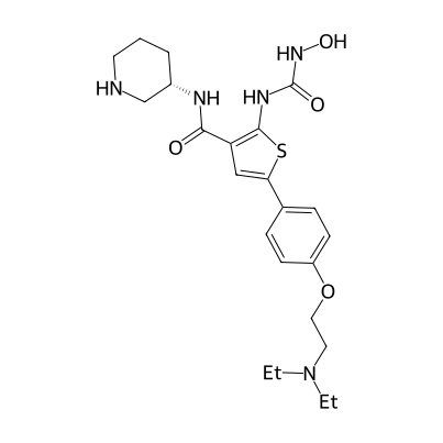 CCN(CC)CCOc1ccc(-c2cc(C(=O)N[C@H]3CCCNC3)c(NC(=O)NO)s2)cc1